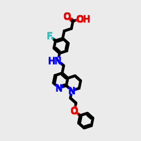 O=C(O)CCc1ccc(NCc2ccnc3c2CCCN3CCOc2ccccc2)cc1F